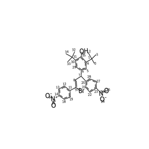 CC(C)(C)c1cc(C(C=C(Br)c2ccc([N+](=O)[O-])cc2)c2ccc([N+](=O)[O-])cc2)cc(C(C)(C)C)c1O